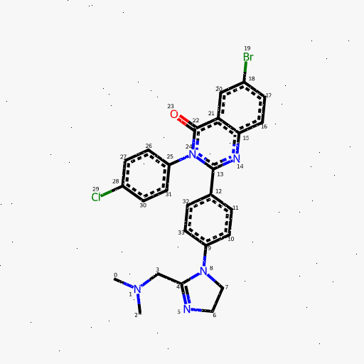 CN(C)CC1=NCCN1c1ccc(-c2nc3ccc(Br)cc3c(=O)n2-c2ccc(Cl)cc2)cc1